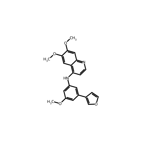 COc1cc(Nc2ccnc3cc(OC)c(OC)cc23)cc(-c2ccoc2)c1